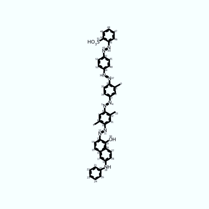 Cc1cc(N=Nc2cc(C)c(N=Nc3ccc4cc(Nc5ccccc5)ccc4c3O)cc2C)ccc1N=Nc1ccc(N=Nc2ccccc2S(=O)(=O)O)cc1